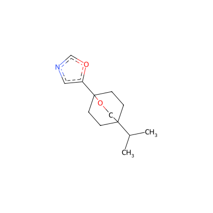 CC(C)C12CCC(c3cnco3)(CC1)OC2